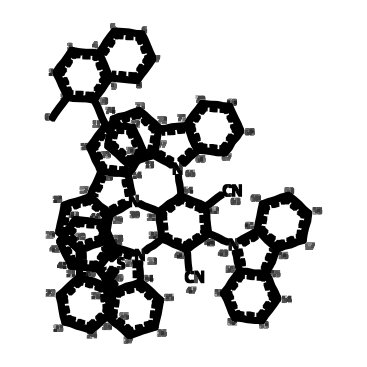 Cc1ccc2ccccc2c1-c1ccc2c(c1)c1ccc3c4ccccc4sc3c1n2-c1c(-n2c3ccccc3c3ccccc32)c(C#N)c(-n2c3ccccc3c3ccccc32)c(C#N)c1-n1c2ccccc2c2ccccc21